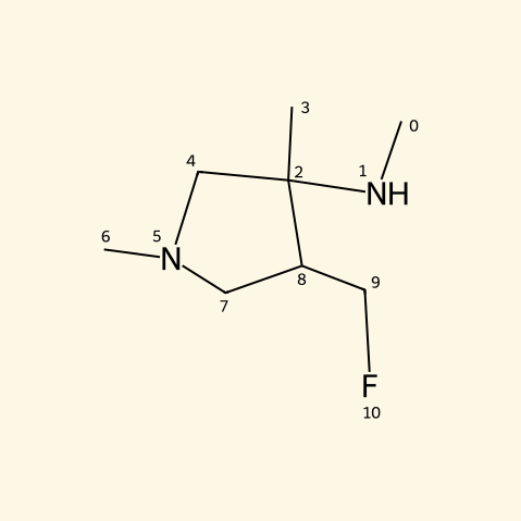 CNC1(C)CN(C)CC1CF